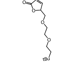 CC(C)(C)CCOCCOCC1C=CC(=O)O1